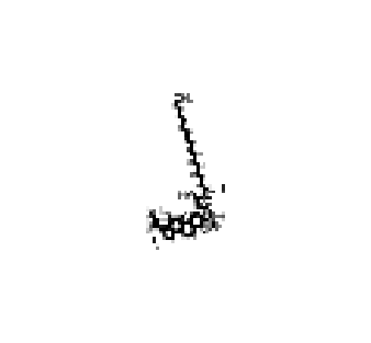 CCCCCCCCCCCCCCCCC(O)[C@H]1OC(OC2(P(=O)(O)O)CC[C@@]3(C)C(CCC4C3CC[C@@]3(C)C4CC[C@@H]3[C@H](C)CCC)C2)C[C@H]1O